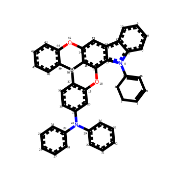 C1=CCCC(n2c3ccccc3c3cc4c5c(c32)Oc2cc(N(c3ccccc3)c3ccccc3)ccc2B5c2ccccc2O4)=C1